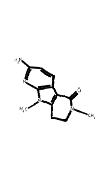 CN1CCc2c(c3ccc(N)nc3n2C)C1=O